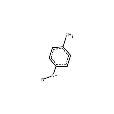 Cc1ccc(N[N])cc1